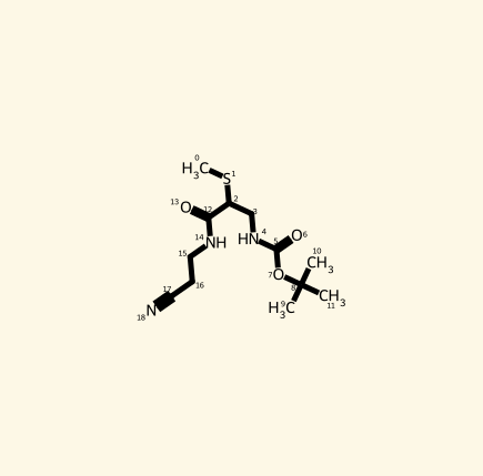 CSC(CNC(=O)OC(C)(C)C)C(=O)NCCC#N